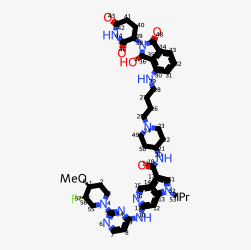 CO[C@H]1CCN(c2nccc(Nc3cc4c(cn3)c(C(=O)NC3CCN(CCCCNc5cccc6c5C(O)N(C5CCC(=O)NC5=O)C6=O)CC3)cn4C(C)C)n2)C[C@H]1F